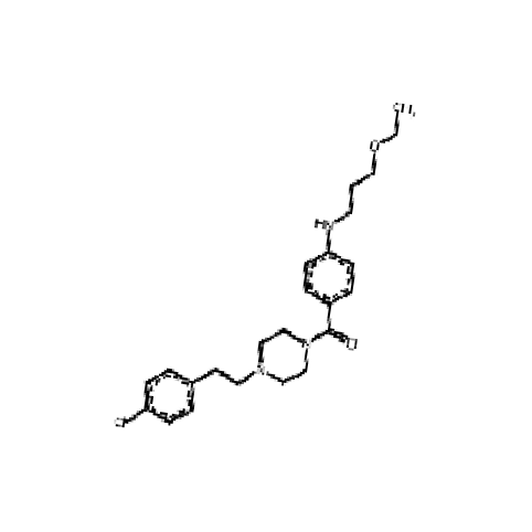 CCOCCCNc1ccc(C(=O)N2CCN(CCc3ccc(Cl)cc3)CC2)cc1